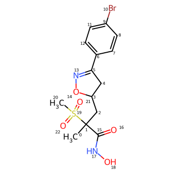 CC(CC1CC(c2ccc(Br)cc2)=NO1)(C(=O)NO)S(C)(=O)=O